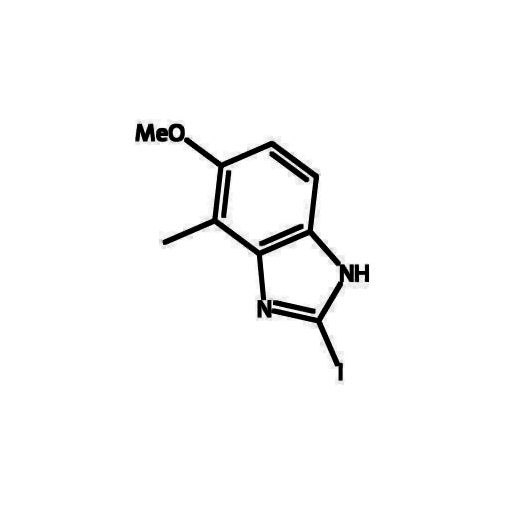 COc1ccc2[nH]c(I)nc2c1C